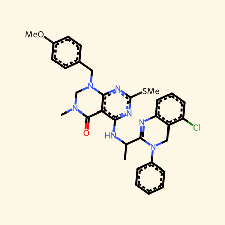 COc1ccc(CN2CN(C)C(=O)c3c(NC(C)C4=Nc5cccc(Cl)c5CN4c4ccccc4)nc(SC)nc32)cc1